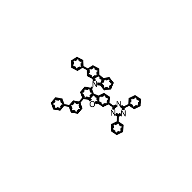 c1ccc(-c2cccc(-c3ccc(-n4c5ccccc5c5ccc(-c6ccccc6)cc54)c4c3oc3cc(-c5nc(-c6ccccc6)nc(-c6ccccc6)n5)ccc34)c2)cc1